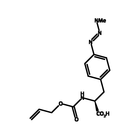 C=CCOC(=O)N[C@@H](Cc1ccc(/N=N/NC)cc1)C(=O)O